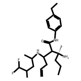 C=CCC(NC(C)CC(C)C(F)F)C(C(=O)Nc1ccc(CC)cc1)[C@@](C)(N)CCC